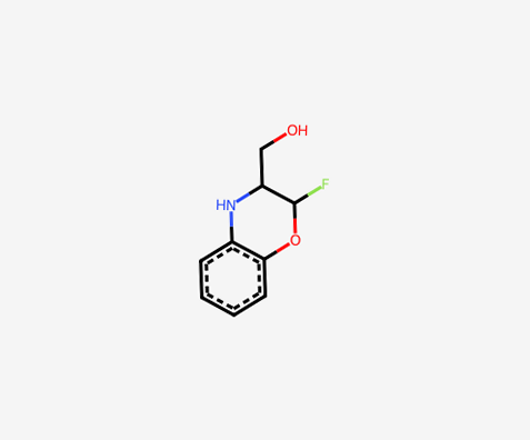 OCC1Nc2ccccc2OC1F